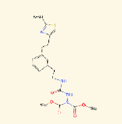 CC(=O)Nc1nc(CCc2cccc(CCNC(=O)NN(C(=O)OC(C)(C)C)C(=O)OC(C)(C)C)c2)cs1